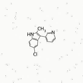 Cc1[nH]c2ccc(Cl)cc2c1-c1cccnc1